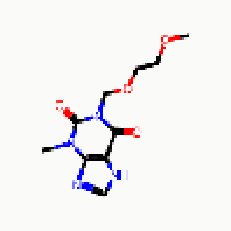 COCCOCn1c(=O)c2[nH]cnc2n(C)c1=O